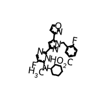 CN(c1nc(-c2cc(-c3ccon3)n(Cc3ccccc3F)n2)ncc1F)[C@@H]1CCCC[C@H]1C(=O)O